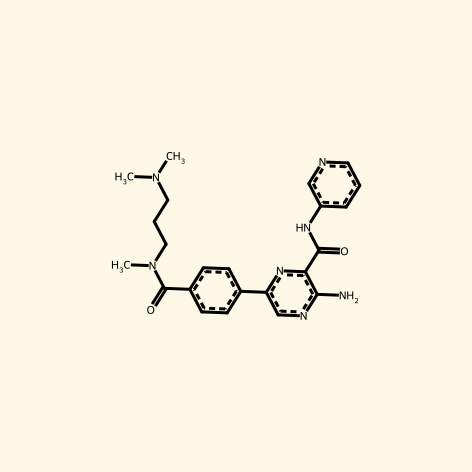 CN(C)CCCN(C)C(=O)c1ccc(-c2cnc(N)c(C(=O)Nc3cccnc3)n2)cc1